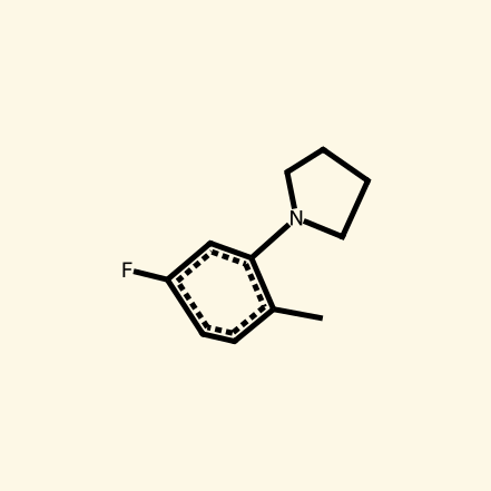 Cc1ccc(F)cc1N1CCCC1